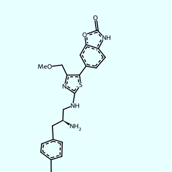 COCc1nc(NC[C@@H](N)Cc2ccc(C)cc2)sc1-c1ccc2[nH]c(=O)oc2c1